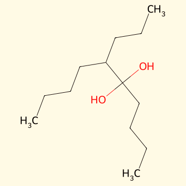 CCCCC(CCC)C(O)(O)CCCC